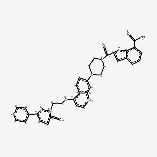 NC(=O)c1cccc2cc(C(=O)N3CCN(c4ccc5c(OCCn6nc(-c7ccncc7)ccc6=O)ccnc5c4)CC3)oc12